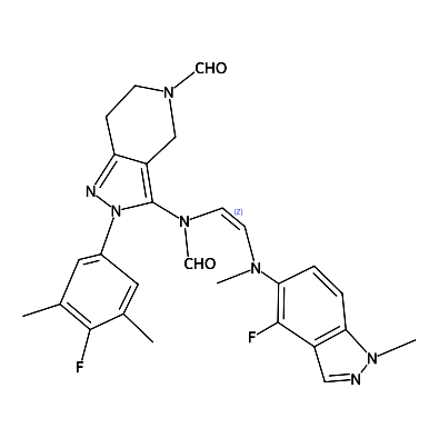 Cc1cc(-n2nc3c(c2N(C=O)/C=C\N(C)c2ccc4c(cnn4C)c2F)CN(C=O)CC3)cc(C)c1F